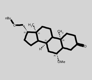 CCCCOC[C@H]1CCC2[C@@H]3C[C@@H](OC)C4CC(=O)CC[C@]4(C)C3CC[C@@]21C